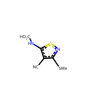 CSc1nsc(NC(=O)O)c1C#N